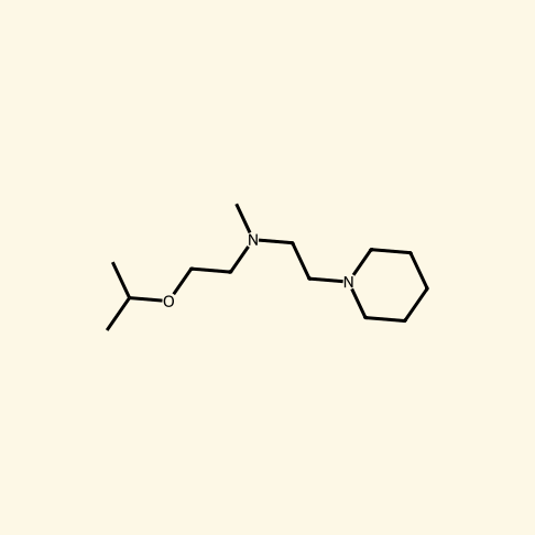 CC(C)OCCN(C)CCN1CCCCC1